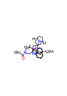 CSc1ccc(C2(CCN3[C@@H]4CC[C@H]3CC(n3c(C)nc5ccccc53)C4)CCN(C(=O)C(C)(C)C)CC2)cc1